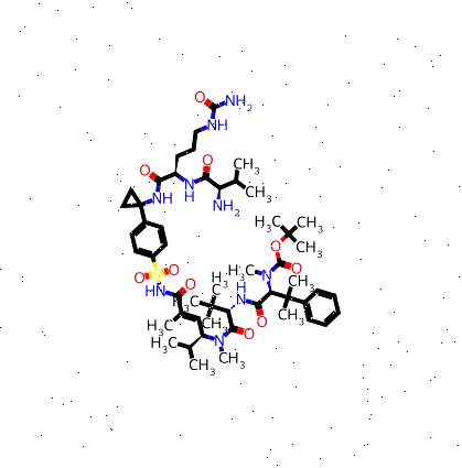 C/C(=C\[C@H](C(C)C)N(C)C(=O)[C@@H](NC(=O)[C@@H](N(C)C(=O)OC(C)(C)C)C(C)(C)c1ccccc1)C(C)(C)C)C(=O)NS(=O)(=O)c1ccc(C2(NC(=O)[C@@H](CCCNC(N)=O)NC(=O)[C@H](N)C(C)C)CC2)cc1